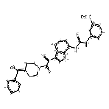 [C-]#[N+]C(=C1CCN(C(=O)C(=O)c2c[nH]c3c(NC(=O)Nc4cccc(C(=O)OCC)c4)cccc23)CC1)c1ccccc1